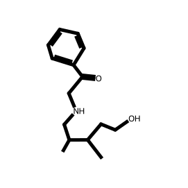 CC(CCO)C(C)CNCC(=O)c1ccccc1